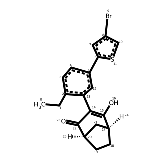 CCc1ccc(-c2cc(Br)cs2)cc1C1=C(O)[C@H]2CC[C@H](C2)C1=O